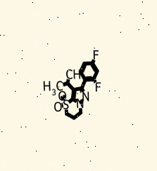 CC(C)c1c(-c2ccc(F)cc2F)nn2c1S(=O)(=O)CCC2